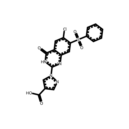 O=C(O)c1cnn(-c2nc3cc(S(=O)(=O)c4ccccc4)c(Cl)cc3c(=O)[nH]2)c1